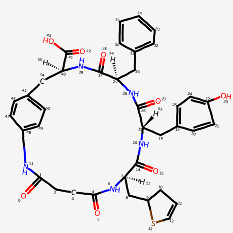 O=C1CCC(=O)N[C@H](CC2CC=CS2)C(=O)N[C@@H](Cc2ccc(O)cc2)C(=O)N[C@H](Cc2ccccc2)C(=O)N[C@H](C(=O)O)Cc2ccc(cc2)N1